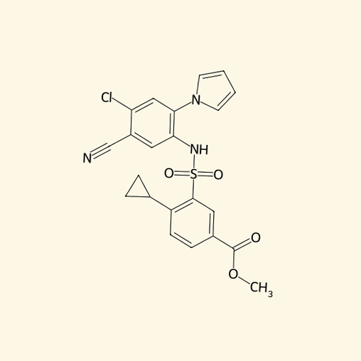 COC(=O)c1ccc(C2CC2)c(S(=O)(=O)Nc2cc(C#N)c(Cl)cc2-n2cccc2)c1